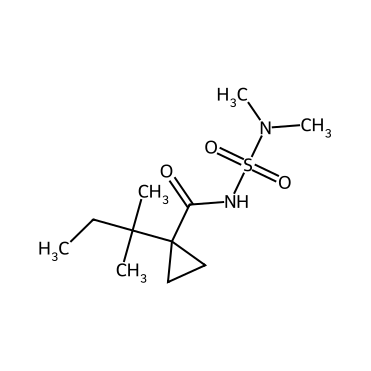 CCC(C)(C)C1(C(=O)NS(=O)(=O)N(C)C)CC1